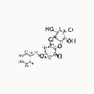 Oc1cc(Cl)c(O)c(Oc2c(Cl)cc(OCc3ccccc3)cc2Cl)c1